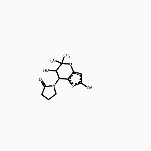 CC1(C)Oc2cc(C#N)sc2C(N2CCCC2=O)C1O